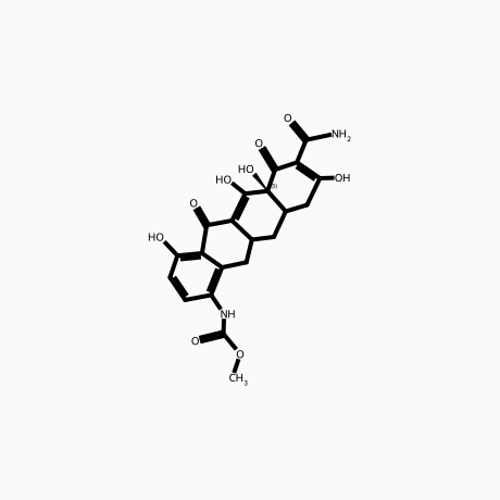 COC(=O)Nc1ccc(O)c2c1CC1CC3CC(O)=C(C(N)=O)C(=O)[C@@]3(O)C(O)=C1C2=O